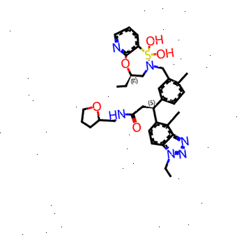 CC[C@@H]1CN(Cc2cc([C@H](CC(=O)NCC3CCCO3)c3ccc4c(nnn4CC)c3C)ccc2C)S(O)(O)c2cccnc2O1